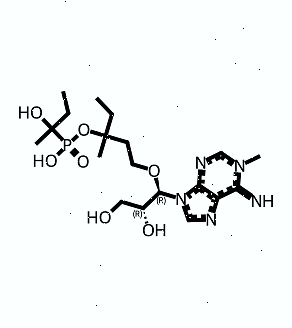 CCC(C)(CCO[C@H]([C@H](O)CO)n1cnc2c(=N)n(C)cnc21)OP(=O)(O)C(C)(O)CC